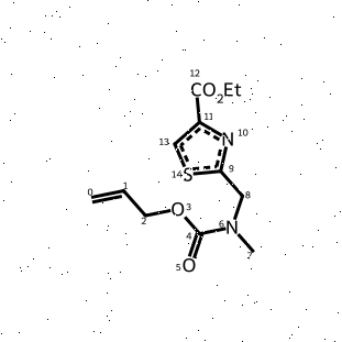 C=CCOC(=O)N(C)Cc1nc(C(=O)OCC)cs1